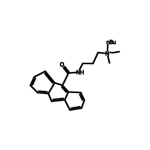 CCCC[N+](C)(C)CCCNC(=O)c1c2ccccc2cc2ccccc12